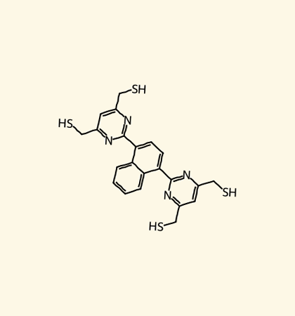 SCc1cc(CS)nc(-c2ccc(-c3nc(CS)cc(CS)n3)c3ccccc23)n1